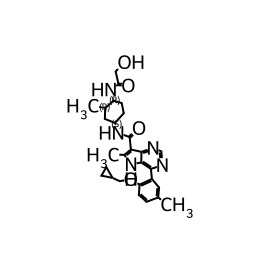 Cc1ccc(OCC2CC2)c(-c2ncnc3c(C(=O)N[C@H]4CC[C@@H](NC(=O)CO)[C@H](C)C4)c(C)[nH]c23)c1